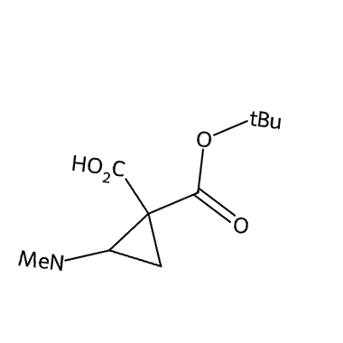 CNC1CC1(C(=O)O)C(=O)OC(C)(C)C